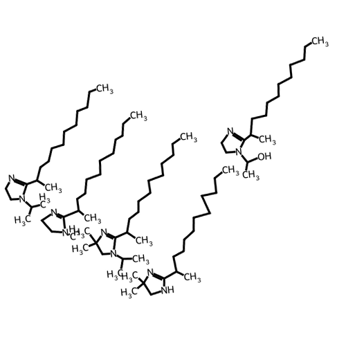 CCCCCCCCCCC(C)C1=NC(C)(C)CN1.CCCCCCCCCCC(C)C1=NC(C)(C)CN1C(C)C.CCCCCCCCCCC(C)C1=NCCN1C.CCCCCCCCCCC(C)C1=NCCN1C(C)C.CCCCCCCCCCC(C)C1=NCCN1C(C)O